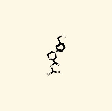 CCc1cccc(N2CCOC(C(=O)OC(C)C)C2)c1